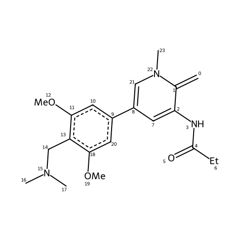 C=C1C(NC(=O)CC)=CC(c2cc(OC)c(CN(C)C)c(OC)c2)=CN1C